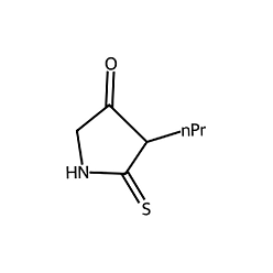 CCCC1C(=O)CNC1=S